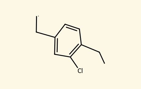 [CH2]Cc1ccc(CC)c(Cl)c1